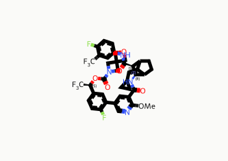 COc1ncc(-c2cc([C@H](OC(=O)N3CC4(COC4)C3)C(F)(F)F)ccc2F)cc1C(=O)N[C@@H]1C2CCC(/C2=C/C2CC2)[C@@H]1C(=O)Nc1ccc(F)c(C(F)(F)F)c1